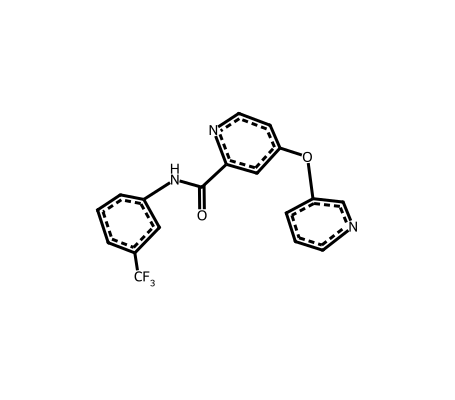 O=C(Nc1cccc(C(F)(F)F)c1)c1cc(Oc2cccnc2)ccn1